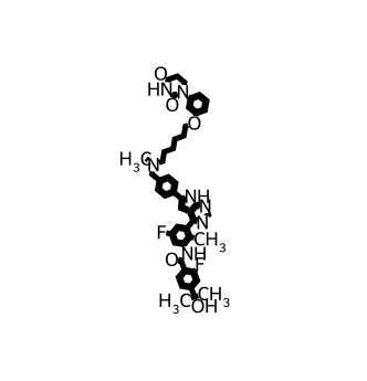 Cc1c(NC(=O)c2ccc(C(C)(C)O)cc2F)cc(F)cc1-c1ncnc2[nH]c(-c3ccc(CN(C)CCCCCCOc4cccc(N5CCC(=O)NC5=O)c4)cc3)cc12